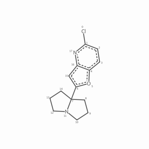 Clc1ccc2oc(C34CCCN3CCC4)cc2n1